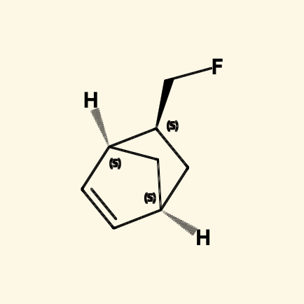 FC[C@H]1C[C@H]2C=C[C@@H]1C2